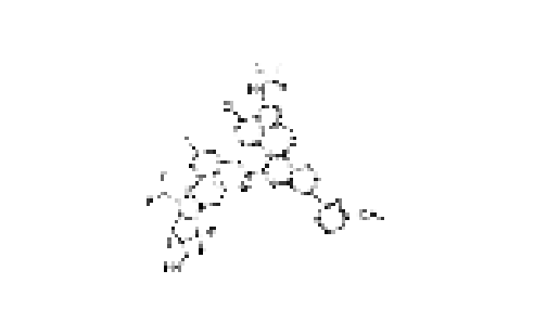 COc1cccc(-c2ccc3c(=O)n(-c4ccc(Cl)c5c(NS(C)(=O)=O)nn(C)c45)c([C@H](Cc4cc(F)cc(F)c4)NC(=O)Cn4nc(C(F)F)c5c4C(F)(F)C4(C=N)CC54)nc3c2)n1